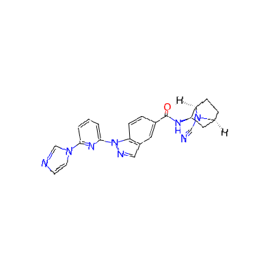 N#CN1[C@H]2CC[C@@H]1[C@H](NC(=O)c1ccc3c(cnn3-c3cccc(-n4ccnc4)n3)c1)C2